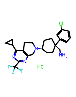 Cl.NC[C@]1(c2cccc(Cl)c2)CC[C@H](N2CCc3c(nc(C(F)(F)F)nc3C3CC3)C2)CC1